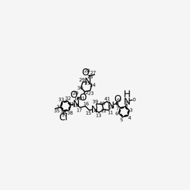 CNc1ccccc1C(=O)N1CC2CN(CCCN(C(=O)OC3CCN(C(C)=O)CC3)c3ccc(C)c(Cl)c3)CC2C1